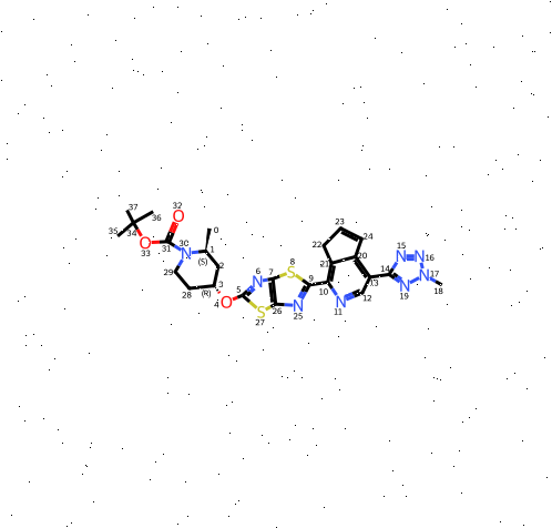 C[C@H]1C[C@H](Oc2nc3sc(-c4ncc(-c5nnn(C)n5)c5c4CC=C5)nc3s2)CCN1C(=O)OC(C)(C)C